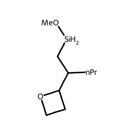 CCCC(C[SiH2]OC)C1CCO1